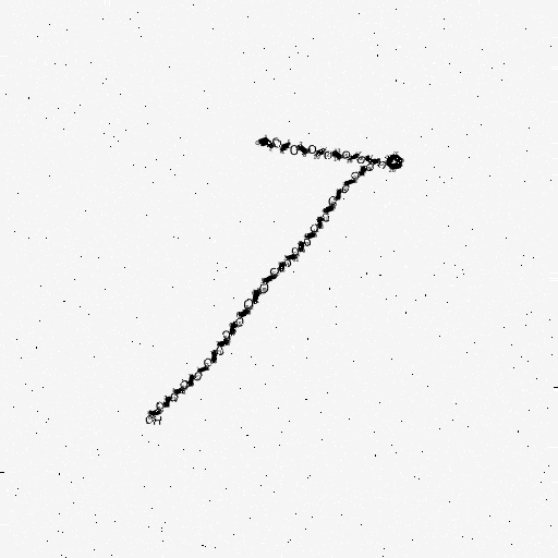 C=CCOCCOCCOCCOCCOCCOCC(COc1ccccc1)OCCOCCOCCOCCOCCOCCOCCOCCOCCOCCOCCOCCOCCOCCOCCOCCOCCOCCOCCOCCO